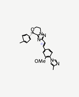 COc1cc(/C=C/c2nc3n(n2)CCO[C@H]3c2ccc(C)cc2)ccc1-n1cnc(C)c1